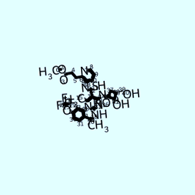 COC(=O)CCc1nccc2sc(-c3c(C)nc(N[C@H](C)c4ccc(OC(F)(F)F)cc4)nc3N[C@]3(O)C[C@H](CO)[C@H]3O)nc12